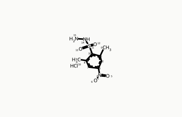 Cc1cc([N+](=O)[O-])cc(C)c1S(=O)(=O)NN.Cl